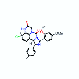 COc1ccc(C2=N[C@@H](c3ccc(C)cc3)[C@@H]3N2C(=O)N2CC(=O)NC4=C2C3(C)C=CC4(C)Cl)c(OC(C)C)c1